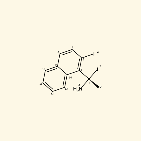 C[C@](N)(I)c1c(I)ccc2ccccc12